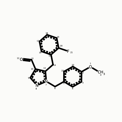 COc1ccc(Cn2ncc(C=O)c2Cc2ccccc2F)cc1